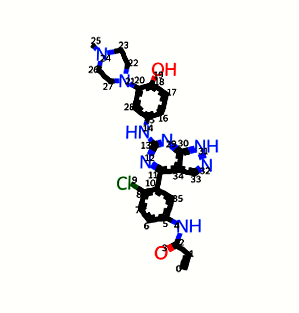 C=CC(=O)Nc1ccc(Cl)c(-c2nc(Nc3ccc(O)c(N4CCN(C)CC4)c3)nc3[nH]ncc23)c1